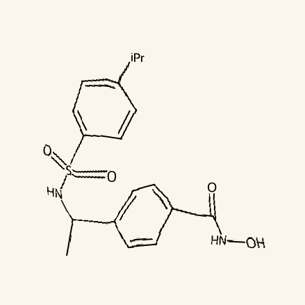 CC(C)c1ccc(S(=O)(=O)NC(C)c2ccc(C(=O)NO)cc2)cc1